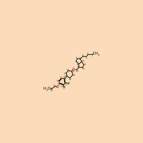 CCCCCC1CCC2C(COC3CCC(c4ccc(OCCC)c(F)c4F)CC3)CCC12